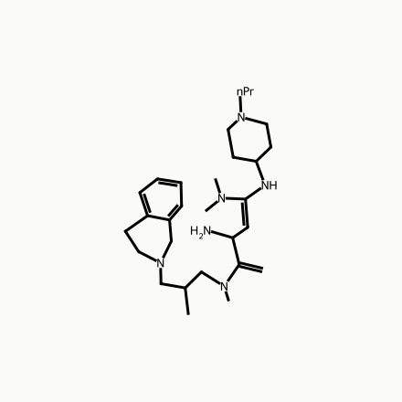 C=C(C(N)/C=C(/NC1CCN(CCC)CC1)N(C)C)N(C)CC(C)CN1CCc2ccccc2C1